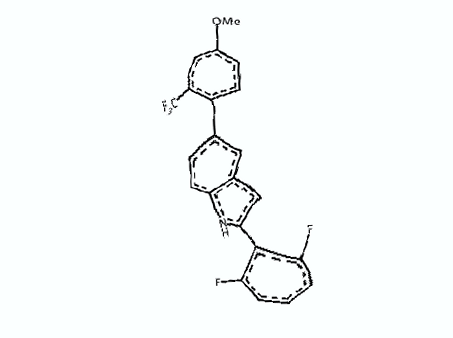 COc1ccc(-c2ccc3[nH]c(-c4c(F)cccc4F)cc3c2)c(C(F)(F)F)c1